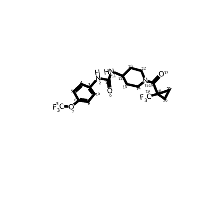 O=C(Nc1ccc(OC(F)(F)F)cc1)NC1CCN(C(=O)C2(C(F)(F)F)CC2)CC1